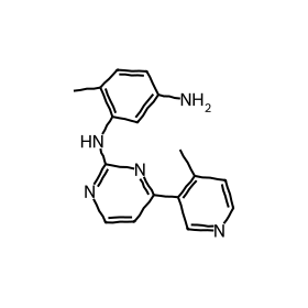 Cc1ccc(N)cc1Nc1nccc(-c2cnccc2C)n1